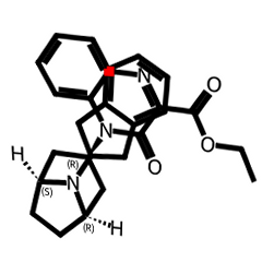 CCOC(=O)c1nc2ccccc2n([C@H]2C[C@H]3CC[C@@H](C2)N3C2Cc3ccccc3C2)c1=O